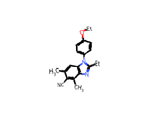 CCOc1ccc(-n2c(CC)nc3c(C)c(C#N)c(C)cc32)cc1